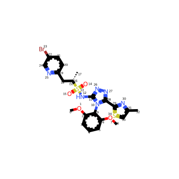 COc1cccc(OC)c1-n1c(NS(=O)(=O)[C@@H](C)Cc2ccc(Br)cn2)nnc1-c1nc(C)cs1